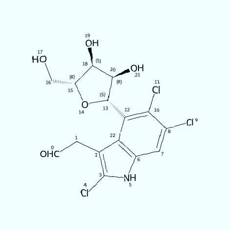 O=CCc1c(Cl)[nH]c2cc(Cl)c(Cl)c([C@@H]3O[C@H](CO)[C@@H](O)[C@H]3O)c12